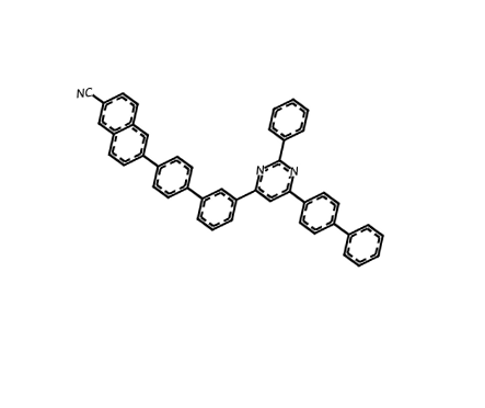 N#Cc1ccc2cc(-c3ccc(-c4cccc(-c5cc(-c6ccc(-c7ccccc7)cc6)nc(-c6ccccc6)n5)c4)cc3)ccc2c1